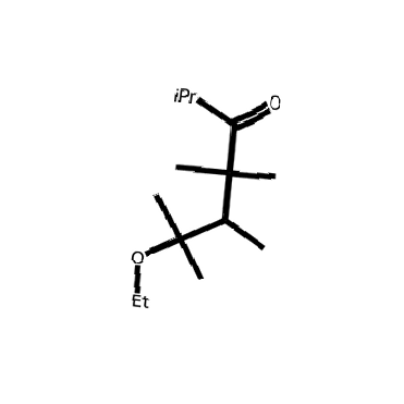 CCOC(C)(C)C(C)C(C)(C)C(=O)C(C)C